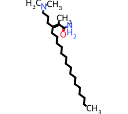 CCCCCCCCCCCCCCCCC(CCCN(C)C)=C(C)C(N)=O